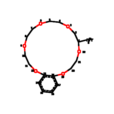 CCCC1COCCOCCOCCOc2ccccc2OCCO1